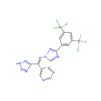 FC(F)(F)c1cc(-c2ncn(/C=C(\c3cncnc3)c3nn[nH]n3)n2)cc(C(F)(F)F)c1